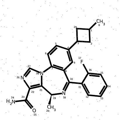 CC1CC(c2ccc3c(c2)C(c2ccccc2F)=N[C@@H](C)c2c(C(N)=O)ncn2-3)C1